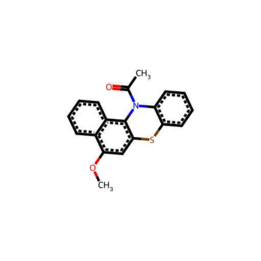 COc1cc2c(c3ccccc13)N(C(C)=O)c1ccccc1S2